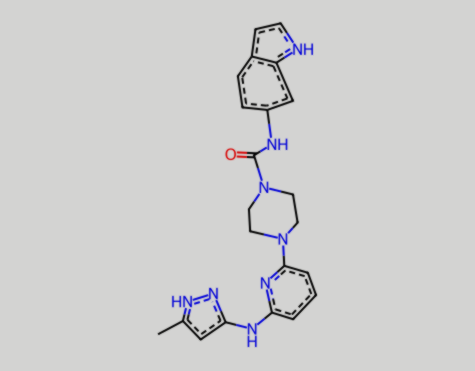 Cc1cc(Nc2cccc(N3CCN(C(=O)Nc4ccc5cc[nH]c5c4)CC3)n2)n[nH]1